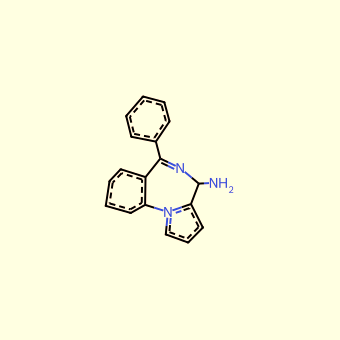 NC1N=C(c2ccccc2)c2ccccc2-n2cccc21